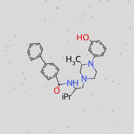 CC(C)C(CN1CCN(c2cccc(O)c2)[C@@H](C)C1)NC(=O)c1ccc(-c2ccccc2)cc1